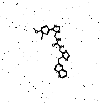 COc1ccc(-n2ncnc2CNC(=O)NCc2ncnn2Cc2ccc3ncccc3c2)cc1F